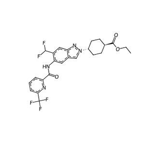 CCOC(=O)[C@H]1CC[C@H](n2cc3cc(NC(=O)c4cccc(C(F)(F)F)n4)c(C(F)F)cc3n2)CC1